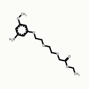 CCOC(=O)COCCOCCOc1cc(N)cc(OC)c1